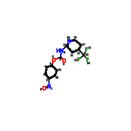 O=Nc1ccc(OC(=O)Nc2cc(C(F)(F)F)ccn2)cc1